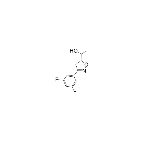 CC(O)C1CC(c2cc(F)cc(F)c2)=NO1